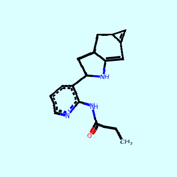 CCC(=O)Nc1ncccc1C1CC2CC3C=C3C=C2N1